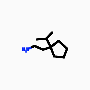 CC(C)C1(CCN)CCCC1